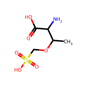 CC(OCS(=O)(=O)O)C(N)C(=O)O